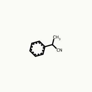 C[C](C#N)c1ccccc1